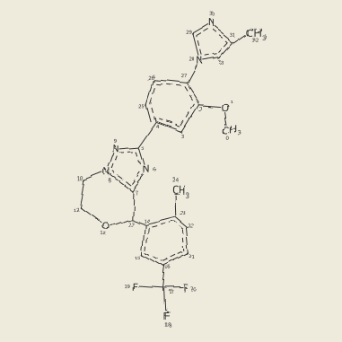 COc1cc(-c2nc3n(n2)CCOC3c2cc(C(F)(F)F)ccc2C)ccc1-n1cnc(C)c1